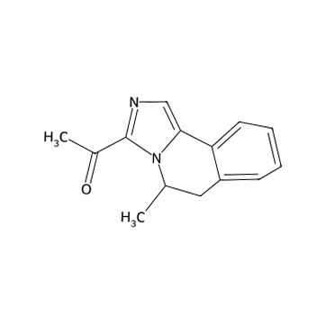 CC(=O)c1ncc2n1C(C)Cc1ccccc1-2